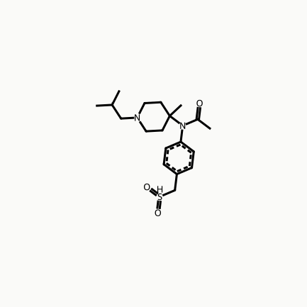 C[C](C)CN1CCC(C)(N(C(C)=O)c2ccc(C[SH](=O)=O)cc2)CC1